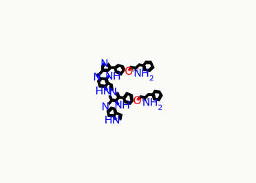 N#Cc1cncc(-c2ccc(OC[C@@H](N)Cc3ccccc3)cc2)c1Nc1cccc2[nH]ccc12.N#Cc1cncc(-c2ccc(OC[C@H](N)Cc3ccccc3)cc2)c1Nc1cccc2[nH]ccc12